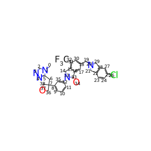 Cn1cnnc1CC1(c2cccc(N3Cc4c(cc(CN5Cc6ccc(Cl)cc6C5)cc4C(F)(F)F)C3=O)c2)COC1